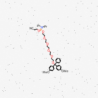 COc1ccc(C(OCCOCCOCCOCCOCCOP(OCCC#N)N(C(C)C)C(C)C)(c2ccccc2)c2ccc(OC)cc2)cc1